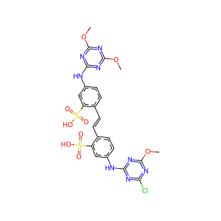 COc1nc(Cl)nc(Nc2ccc(C=Cc3ccc(Nc4nc(OC)nc(OC)n4)cc3S(=O)(=O)O)c(S(=O)(=O)O)c2)n1